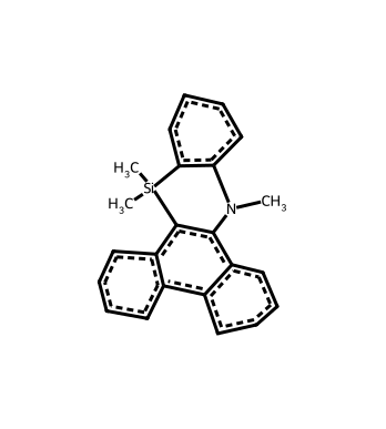 CN1c2ccccc2[Si](C)(C)c2c1c1ccccc1c1ccccc21